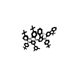 Cc1cc(C)cc(-c2cc3c4c(c2)N(c2ccc(N(c5ccc(C(C)(C)C)cc5)c5ccc6c(c5)C(C)(C)c5ccccc5-6)c5oc6ccccc6c25)c2ccc(C(C)(C)C)cc2B4c2cc(C(C)(C)C)ccc2N3c2ccc(C(C)(C)C)cc2)c1